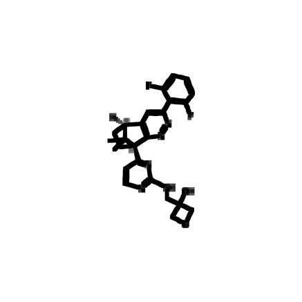 CC1(C)[C@H]2CC[C@@]1(c1ccnc(NCC3(O)COC3)n1)c1nnc(-c3c(F)cccc3F)cc12